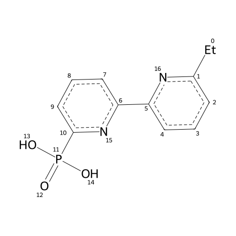 CCc1cccc(-c2cccc(P(=O)(O)O)n2)n1